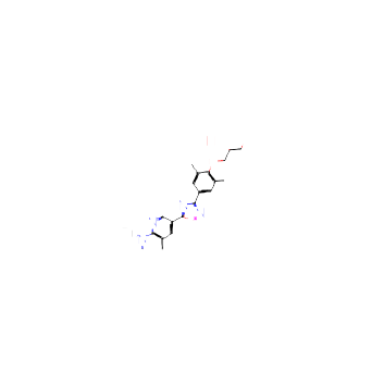 CCc1cc(-c2noc(-c3cnc(N(C)CC)c(C)c3)n2)cc(C)c1OC[C@H](O)CO